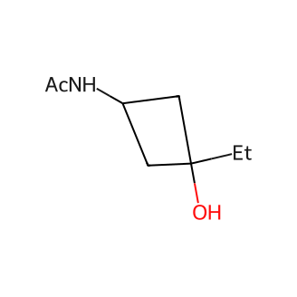 CCC1(O)CC(NC(C)=O)C1